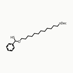 CCCCCCCCCCCCCCCCCCCCCCOC(S)c1ccccc1